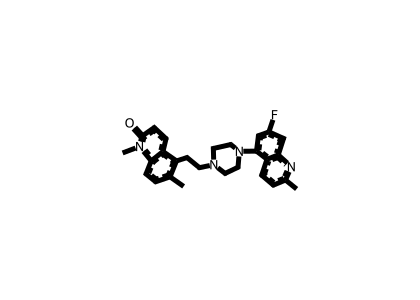 Cc1ccc2c(N3CCN(CCc4c(C)ccc5c4ccc(=O)n5C)CC3)cc(F)cc2n1